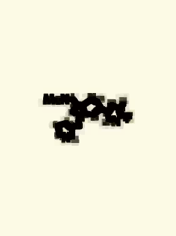 CNCc1cn(Sc2cccnc2)c2cc(-c3cnc(F)c(C)c3)ccc12